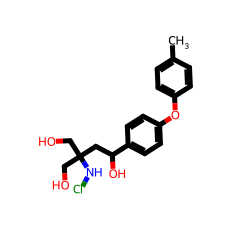 Cc1ccc(Oc2ccc(C(O)CC(CO)(CO)NCl)cc2)cc1